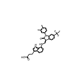 Cc1ccc(N2C(=O)/C(=C\Nc3cccc4c(CCC(=O)O)c[nH]c34)c3ccc(C(F)(F)F)cc32)cc1C